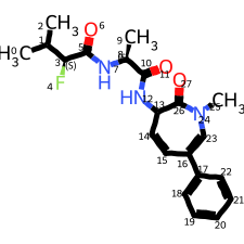 CC(C)[C@H](F)C(=O)N[C@@H](C)C(=O)NC1C=CC(c2ccccc2)=CN(C)C1=O